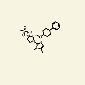 Cc1cnc(N2CC[C@H](NS(C)(=O)=O)[C@@H]2COC2CCC(c3ccccc3)CC2)n1C